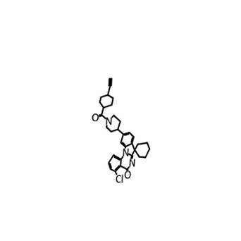 C#CC1CCC(C(=O)N2CCC(c3ccc4c(c3)-n3c(nc(=O)c5c(Cl)cccc53)C43CCCCC3)CC2)CC1